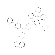 c1ccc(-c2ccc(N(c3ccc(-c4cc(-c5ccccc5)cc(C5(c6ccccc6)c6ccccc6-c6ccccc65)c4)cc3)c3ccc(-c4cccc5ccccc45)cc3)cc2)cc1